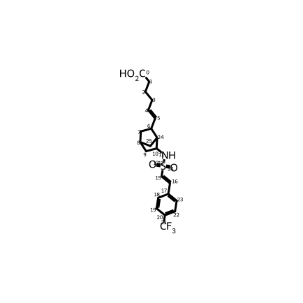 O=C(O)CCC/C=C/C1CC2CC(NS(=O)(=O)/C=C/c3ccc(C(F)(F)F)cc3)C1C2